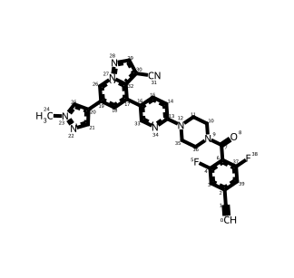 C#Cc1cc(F)c(C(=O)N2CCN(c3ccc(-c4cc(-c5cnn(C)c5)cn5ncc(C#N)c45)cn3)CC2)c(F)c1